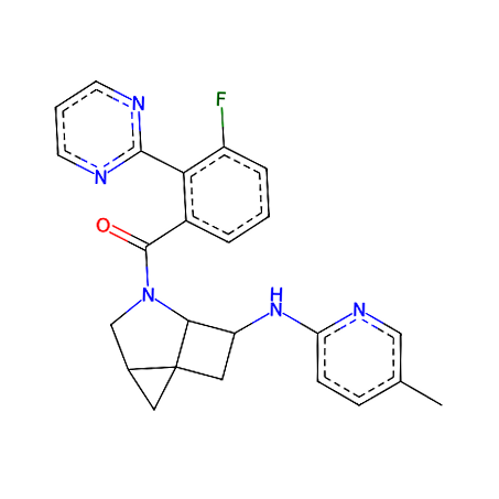 Cc1ccc(NC2CC34CC3CN(C(=O)c3cccc(F)c3-c3ncccn3)C24)nc1